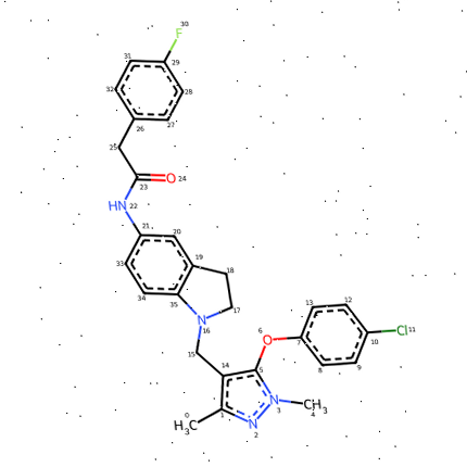 Cc1nn(C)c(Oc2ccc(Cl)cc2)c1CN1CCc2cc(NC(=O)Cc3ccc(F)cc3)ccc21